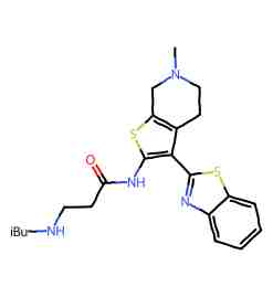 CCC(C)NCCC(=O)Nc1sc2c(c1-c1nc3ccccc3s1)CCN(C)C2